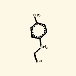 CC(C)(C)C[SiH2]c1ccc(C=O)cc1